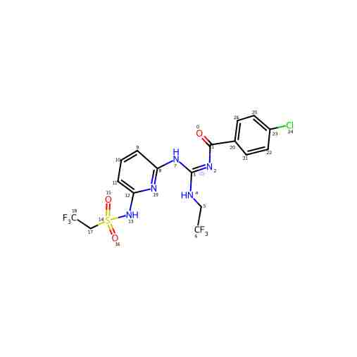 O=C(/N=C(/NCC(F)(F)F)Nc1cccc(NS(=O)(=O)CC(F)(F)F)n1)c1ccc(Cl)cc1